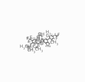 Cc1cc(C=C(F)F)cc(C)c1-c1cc([C@H](CC(=O)O)NC(=O)[C@@H](CC(C)C)n2cc(CCN(C)C)c(C(F)(F)F)cc2=O)cc2c1CCC2